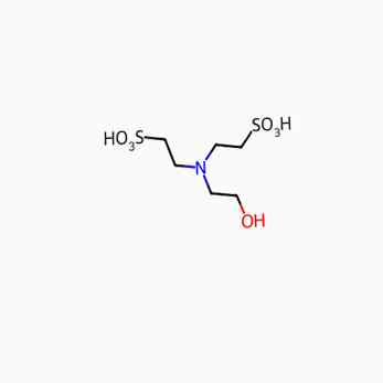 O=S(=O)(O)CCN(CCO)CCS(=O)(=O)O